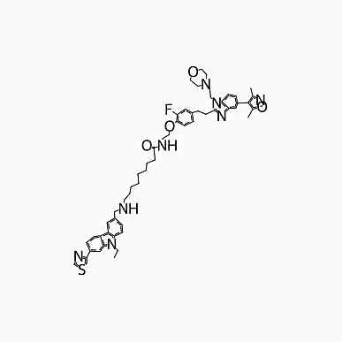 CCn1c2ccc(CNCCCCCCCCC(=O)NCCOc3ccc(CCc4nc5cc(-c6c(C)noc6C)ccc5n4CCN4CCOCC4)cc3F)cc2c2ccc(-c3cscn3)cc21